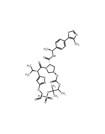 Cc1ncsc1-c1ccc([C@H](C)NC(=O)[C@@H]2C[C@@H](OC(=O)OC(C)C(C)(C)SS(C)(=O)=O)CN2C(=O)[C@@H](c2cc(OCC=O)no2)C(C)C)cc1